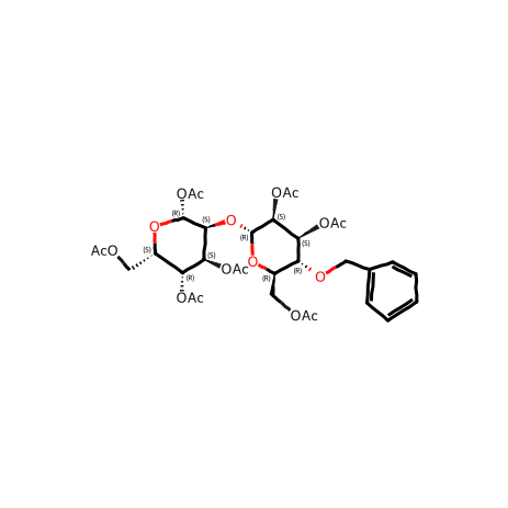 CC(=O)OC[C@@H]1O[C@H](OC(C)=O)[C@@H](O[C@H]2O[C@H](COC(C)=O)[C@@H](OCc3ccccc3)[C@H](OC(C)=O)[C@@H]2OC(C)=O)[C@@H](OC(C)=O)[C@@H]1OC(C)=O